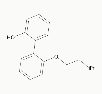 CC(C)CCOc1ccccc1-c1ccccc1O